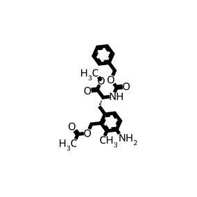 COC(=O)[C@@H](Cc1ccc(N)c(C)c1COC(C)=O)NC(=O)OCc1ccccc1